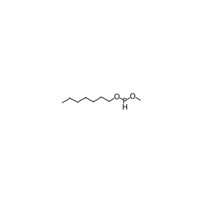 CCCCCCCOPOC